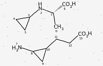 C[C@H](NC1CC1)C(=O)O.NC1CC1CCC(=O)O